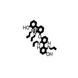 C=CCNc1c(O)cccc1-c1cccc(Oc2cccc(-c3cccc(O)c3NCC=C)c2NCC=C)c1NCC=C